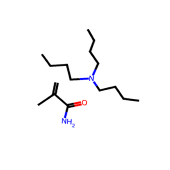 C=C(C)C(N)=O.CCCCN(CCCC)CCCC